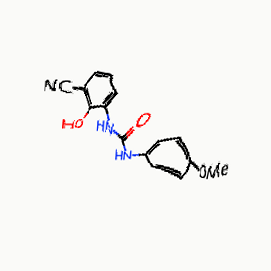 COc1ccc(NC(=O)Nc2cccc(C#N)c2O)cc1